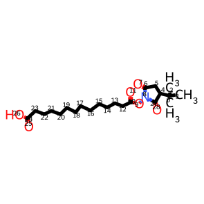 CC(C)(C)C1CC(=O)N(OC(=O)CCCCCCCCCCCCC(=O)O)C1=O